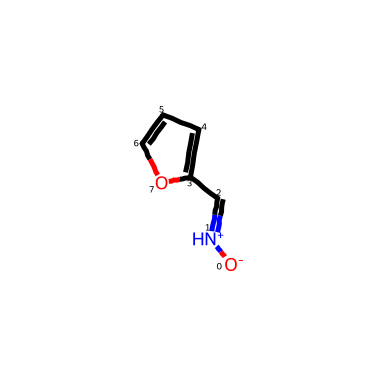 [O-][NH+]=Cc1ccco1